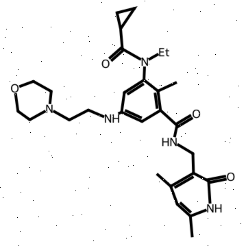 CCN(C(=O)C1CC1)c1cc(NCCN2CCOCC2)cc(C(=O)NCc2c(C)cc(C)[nH]c2=O)c1C